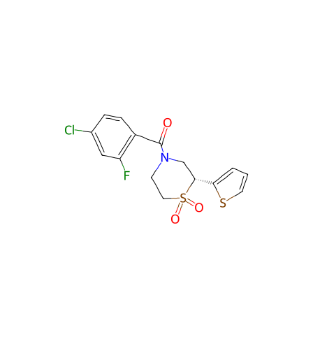 O=C(c1ccc(Cl)cc1F)N1CCS(=O)(=O)[C@@H](c2cccs2)C1